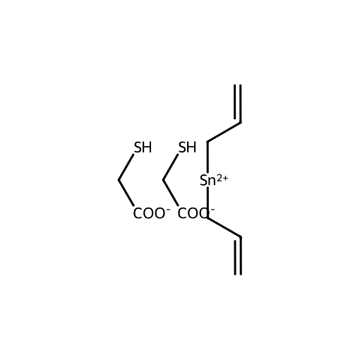 C=C[CH2][Sn+2][CH2]C=C.O=C([O-])CS.O=C([O-])CS